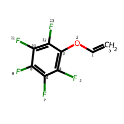 C=COc1c(F)c(F)c(F)c(F)c1F